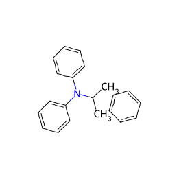 CC(C)N(c1ccccc1)c1ccccc1.c1ccccc1